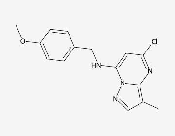 COc1ccc(CNc2cc(Cl)nc3c(C)cnn23)cc1